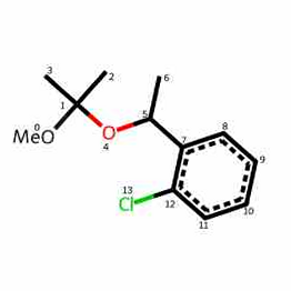 COC(C)(C)OC(C)c1ccccc1Cl